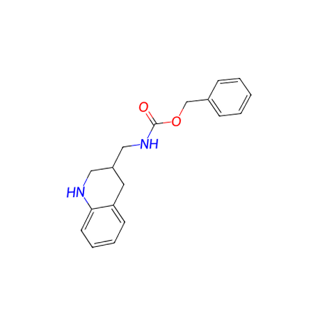 O=C(NCC1CNc2ccccc2C1)OCc1ccccc1